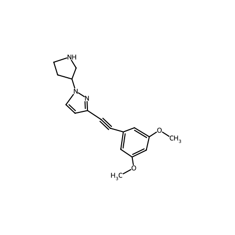 COc1cc(C#Cc2ccn(C3CCNC3)n2)cc(OC)c1